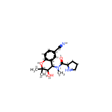 CN(C(=O)C1CCCN1)C1c2cc(C#N)ccc2OC(C)(C)C1O